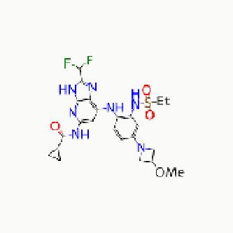 CCS(=O)(=O)Nc1cc(N2CC(OC)C2)ccc1Nc1cc(NC(=O)C2CC2)nc2[nH]c(C(F)F)nc12